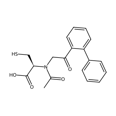 CC(=O)N(CC(=O)c1ccccc1-c1ccccc1)[C@H](CS)C(=O)O